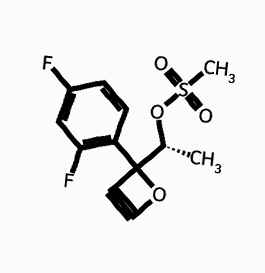 C[C@@H](OS(C)(=O)=O)C1(c2ccc(F)cc2F)C#CO1